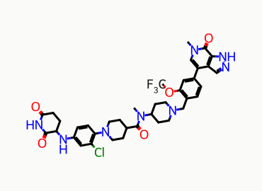 CN(C(=O)C1CCN(c2ccc(NC3CCC(=O)NC3=O)cc2Cl)CC1)C1CCN(Cc2ccc(-c3cn(C)c(=O)c4[nH]ncc34)cc2OC(F)(F)F)CC1